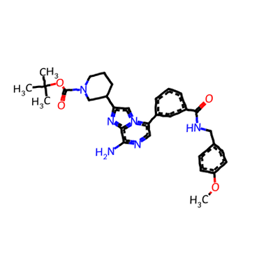 COc1ccc(CNC(=O)c2cccc(-c3cnc(N)c4nc(C5CCCN(C(=O)OC(C)(C)C)C5)cn34)c2)cc1